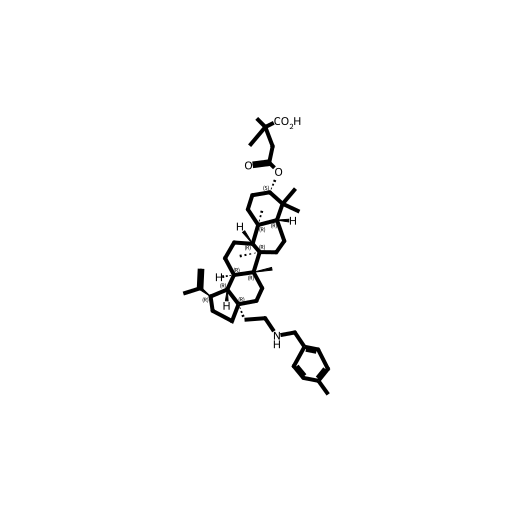 C=C(C)[C@@H]1CC[C@]2(CCNCc3ccc(C)cc3)CC[C@]3(C)[C@H](CC[C@@H]4[C@@]5(C)CC[C@H](OC(=O)CC(C)(C)C(=O)O)C(C)(C)[C@@H]5CC[C@]43C)[C@@H]12